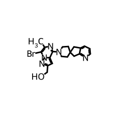 Cc1nc(N2CCC3(CC2)Cc2cccnc2C3)c2cc(CO)nn2c1Br